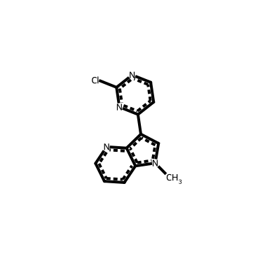 Cn1cc(-c2ccnc(Cl)n2)c2ncccc21